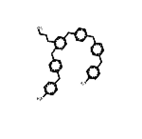 CCCCc1cc(Cc2ccc(Cc3ccc(Cc4ccc(N)cc4)cc3)cc2)ccc1Cc1ccc(Cc2ccc(N)cc2)cc1